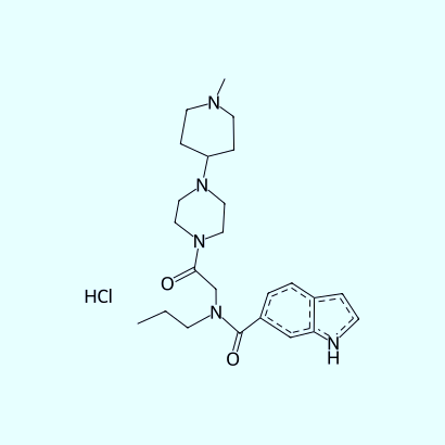 CCCN(CC(=O)N1CCN(C2CCN(C)CC2)CC1)C(=O)c1ccc2cc[nH]c2c1.Cl